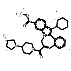 COC(=O)c1ccc2c(C3CCCCC3)c3n(c2c1)CC(C(=O)N1CCC(N2CC[C@H](F)C2)CC1)=Cc1ccccc1-3